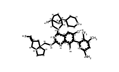 Cc1cc(N)nc(-c2c(Cl)cc3c(N4C[C@@H]5CC[C@](C6CCOCC6)(C4)N5)nc(OC[C@@]45CCCN4C/C(=C\F)C5)nc3c2F)c1C(F)(F)F